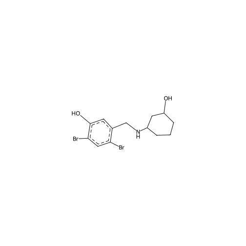 Oc1cc(CNC2CCCC(O)C2)c(Br)cc1Br